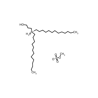 CCCCCCCCCCCCC[N+](C)(CCCO)CCCCCCCCCCCCC.COS(=O)(=O)[O-]